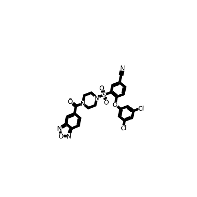 N#Cc1ccc(Oc2cc(Cl)cc(Cl)c2)c(S(=O)(=O)N2CCN(C(=O)c3ccc4nonc4c3)CC2)c1